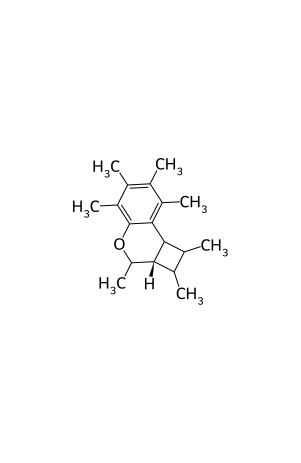 Cc1c(C)c(C)c2c(c1C)OC(C)[C@H]1C(C)C(C)C21